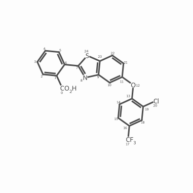 O=C(O)c1ccccc1-c1nc2cc(Oc3ccc(C(F)(F)F)cc3Cl)ccc2s1